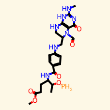 CNc1nc(=O)c2c([nH]1)NCC(CNc1ccc(C(=O)NC(CCC(=O)OC)C(C)OP)cc1)N2C=O